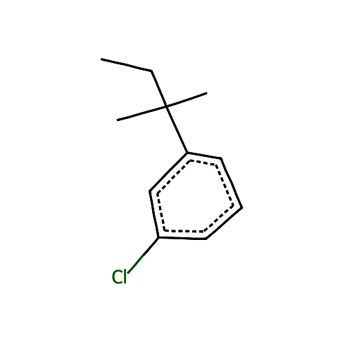 CCC(C)(C)c1cccc(Cl)c1